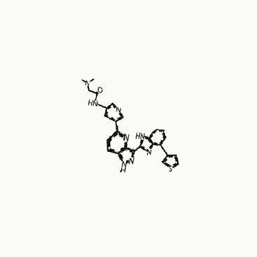 CN(C)CC(=O)Nc1cncc(-c2ccc3[nH]nc(-c4nc5c(-c6ccsc6)cccc5[nH]4)c3n2)c1